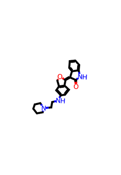 O=C1Nc2ccccc2C1=C1OCc2cc(NCCN3CCCCC3)ccc21